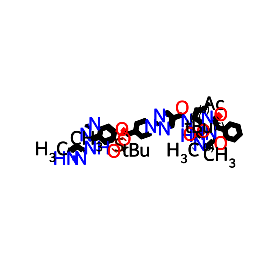 CC(=O)[C@@H]1C[C@H](NC(=O)c2cnc(N3CCC(COc4cc5ncnc(Nc6n[nH]c(C)c6C)c5cc4S(=O)(=O)C(C)(C)C)CC3)nc2)CN1C(=O)[C@@H](NC(=O)[C@H](C)N(C)C(=O)OC(C)(C)C)C1CCCCC1